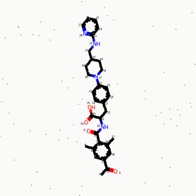 CC(=O)c1cc(C)c(C(=O)NC(Cc2ccc(N3CCC(CNc4ccccn4)CC3)cc2)C(=O)O)c(C)c1